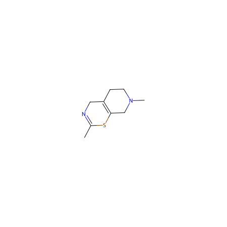 CC1=NCC2=C(CN(C)CC2)S1